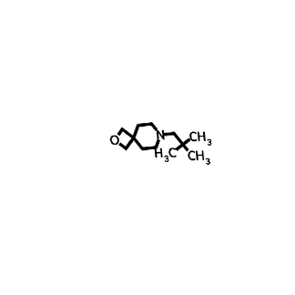 CC(C)(C)CN1CCC2(CC1)COC2